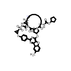 CC1=CC2c3nc(-c4ccc(F)cc4)nc(O[C@@H]4C[C@H]5C(=O)N[C@]6(C(=O)NS(=O)(=O)C7CC7)C[C@H]6/C=C\CCCCC[C@H](NC(=O)OC6CCCC6)C(=O)N5C4)c3OC2C=C1